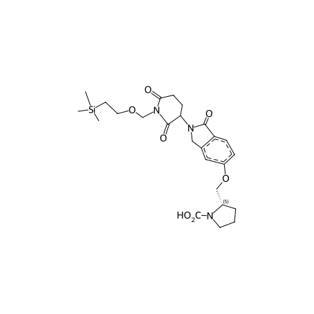 C[Si](C)(C)CCOCN1C(=O)CCC(N2Cc3cc(OC[C@@H]4CCCN4C(=O)O)ccc3C2=O)C1=O